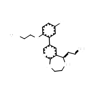 COCCOc1ccc(F)cc1-c1cnc2c(c1)/C(=C/C=N)NCCO2